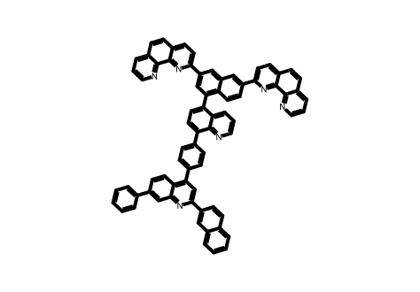 c1ccc(-c2ccc3c(-c4ccc(-c5ccc(-c6cc(-c7ccc8ccc9cccnc9c8n7)cc7cc(-c8ccc9ccc%10cccnc%10c9n8)ccc67)c6cccnc56)cc4)cc(-c4ccc5ccccc5c4)nc3c2)cc1